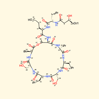 CCCCCCCC[C@H](O)CC(=O)N[C@@H](CC(C)C)C(=O)N[C@H](CCC(=O)O)C(=O)N[C@H]1C(=O)N[C@H](C(C)C)C(=O)N[C@@H](CC(C)C)C(=O)N[C@H](CO)C(=O)N[C@@H](CC(C)C)C(=O)N[C@H](CO)C(=O)N[C@@H](C(C)CC)C(=O)OC1C